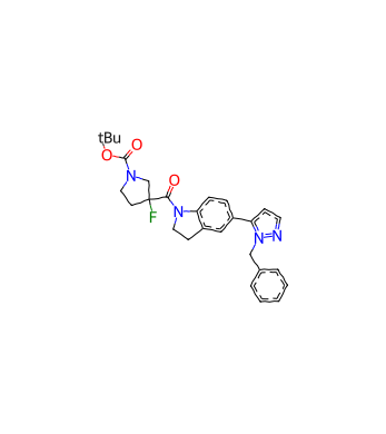 CC(C)(C)OC(=O)N1CCC(F)(C(=O)N2CCc3cc(-c4ccnn4Cc4ccccc4)ccc32)C1